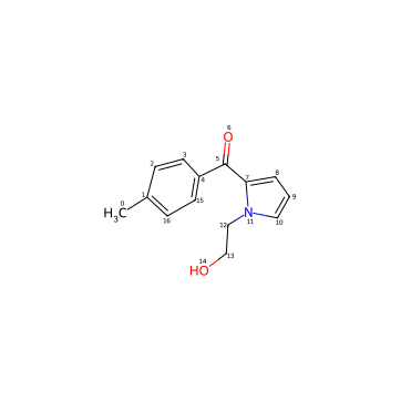 Cc1ccc(C(=O)c2cccn2CCO)cc1